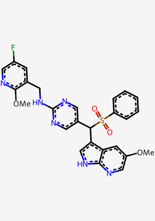 COc1cnc2[nH]cc(C(c3cnc(NCc4cc(F)cnc4OC)nc3)S(=O)(=O)c3ccccc3)c2c1